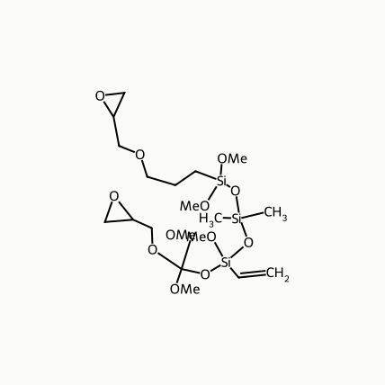 C=C[Si](OC)(OC(OC)(OC)OCC1CO1)O[Si](C)(C)O[Si](CCCOCC1CO1)(OC)OC